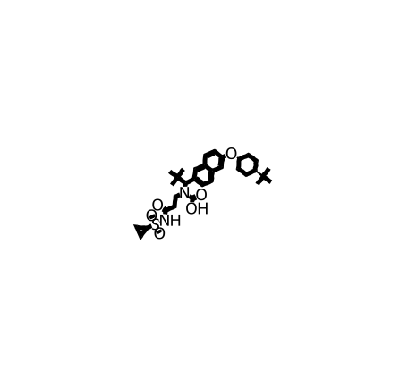 CC(C)(C)C(c1ccc2cc(O[C@H]3CC[C@H](C(C)(C)C)CC3)ccc2c1)N(CCC(=O)NS(=O)(=O)C1CC1)C(=O)O